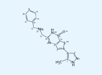 Cc1[nH]ncc1-c1cc2nc(CNCc3ccccc3)[nH]c(=O)c2s1